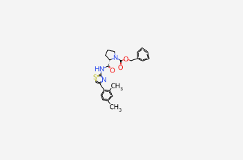 Cc1ccc(-c2csc(NC(=O)[C@@H]3CCCN3C(=O)OCc3ccccc3)n2)c(C)c1